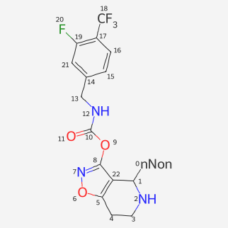 CCCCCCCCCC1NCCc2onc(OC(=O)NCc3ccc(C(F)(F)F)c(F)c3)c21